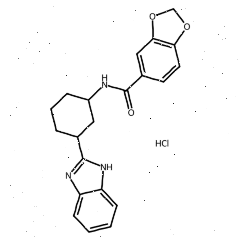 Cl.O=C(NC1CCCC(c2nc3ccccc3[nH]2)C1)c1ccc2c(c1)OCO2